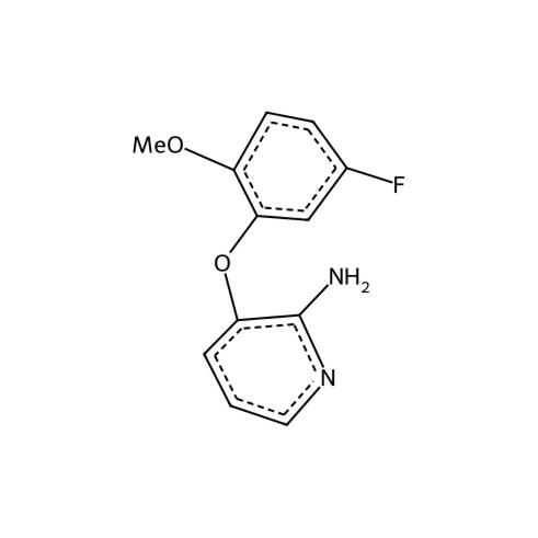 COc1ccc(F)cc1Oc1cccnc1N